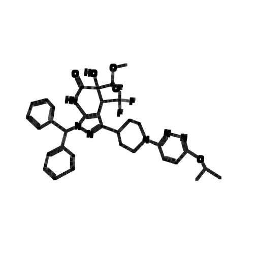 COC(=O)C1(O)C(=O)Nc2c(c(C3CCN(c4ccc(OC(C)C)nn4)CC3)nn2C(c2ccccc2)c2ccccc2)C1C(F)(F)F